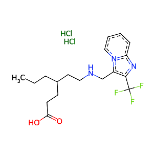 CCCC(CCNCc1c(C(F)(F)F)nc2ccccn12)CCC(=O)O.Cl.Cl